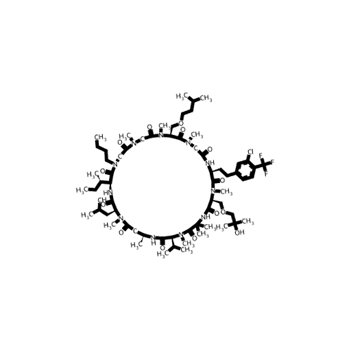 CCCCN1CC(=O)N(C)CC(=O)N(C)[C@@H](COCCC(C)C)C(=O)N(C)CC(=O)N[C@@H](CCc2ccc(C(F)(F)F)c(Cl)c2)C(=O)N(C)[C@@H](COCC(C)(C)O)C(=O)NC(C)(C)C(=O)N(C)[C@@H](C(C)C)C(=O)N[C@H](C)CC(=O)N(C)[C@@H](CC(C)C)C(=O)N[C@@H]([C@@H](C)CC)C1=O